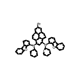 CC(C)c1cc2ccc3c(N(c4ccccc4)c4cccc5c4oc4ccccc45)cc(N(c4ccccc4)c4cccc5c4oc4ccccc45)c4ccc(c1)c2c34